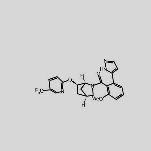 COc1cccc(-c2ccn[nH]2)c1C(=O)N1C[C@H]2C[C@@H](Oc3ccc(C(F)(F)F)cn3)[C@@H]1C2